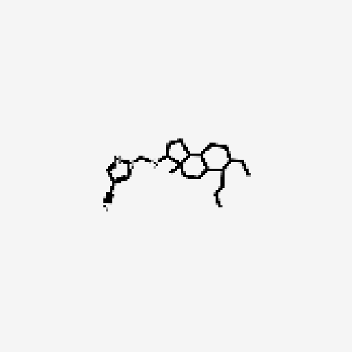 CCCC1C(CC)CCC2C1CCC1(C)C(SCn3cc(C#N)cn3)CCC21